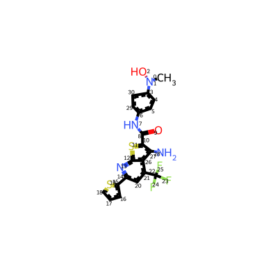 CN(O)c1ccc(NC(=O)c2sc3nc(-c4cccs4)cc(C(F)(F)F)c3c2N)cc1